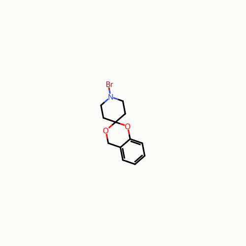 BrN1CCC2(CC1)OCc1ccccc1O2